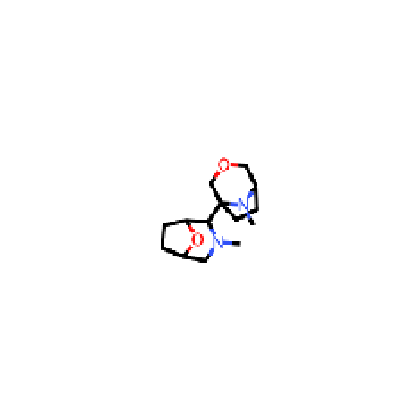 CN1CC2CCC(O2)C1C12CCC(COC1)N2C